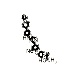 C[C@H](O)C(=O)N1CCC(Oc2ccc(-c3nccc(Nc4ccc(C5CCN(C6COC6)CC5)cc4)n3)cc2C#N)CC1